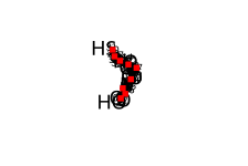 O=S(=O)(O)CCc1cc[n+](CCS(=O)(=O)c2cccc(S(=O)(=O)CC[n+]3ccc(CCS)cc3)c2)cc1